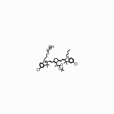 CCCCN1/C(=C/C=C2\CCC(/C=C/C3=[N+](CCCSOOO)c4ccc(Cl)cc4C3(C)C)=C2N(C)C(=O)OC(C)(C)C)C(C)(C)c2cc(Cl)ccc21